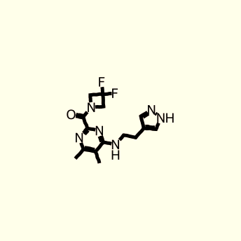 Cc1nc(C(=O)N2CC(F)(F)C2)nc(NCCc2cn[nH]c2)c1C